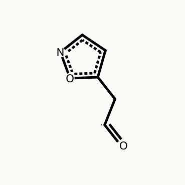 O=[C]Cc1ccno1